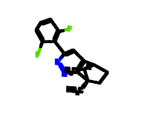 CC12CC13CC[C@]2(C(=O)O)c1nnc(-c2c(F)cccc2F)cc13